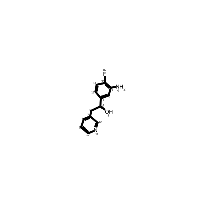 Nc1cc(C(O)Cc2cccnc2)ccc1F